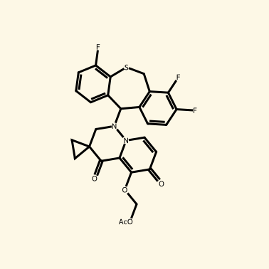 CC(=O)OCOc1c2n(ccc1=O)N(C1c3ccc(F)c(F)c3CSc3c(F)cccc31)CC1(CC1)C2=O